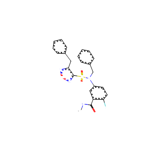 CC(C)NC(=O)c1cc(N(Cc2ccccc2)S(=O)(=O)c2nonc2Cc2ccccc2)ccc1F